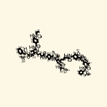 C=CC(=O)Nc1ccc(C(=O)Nc2nn(C/C=C/C(=O)Nc3ccc(C(=O)Nc4nn(C)c5c4CN(C(=O)NC(C)CN(C)C)C5(C)C/C=C/C(=O)Nc4ccc(C(=O)Nc5c6c(nn5C)C(C)(C)N(C(=O)N[C@H](CN(C)C)c5ccccc5)C6)c(OC)c4)cc3)c3c2CN(C(=O)N[C@H](CN(C)C)c2ccccc2)C3(C)C)cc1